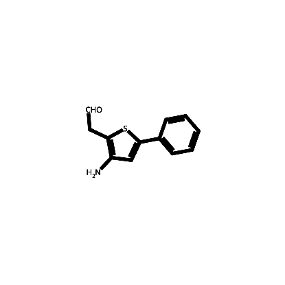 Nc1cc(-c2ccccc2)sc1CC=O